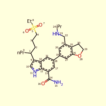 CCCC(CCCS(=O)(=O)CC)c1c[nH]c2c(C(N)=O)cc(-c3cc(CNC(C)C)c4c(c3)OCC4)cc12